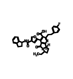 CCC1CC[C@H]2c3nc(CCc4ccc(F)cc4)c(C(=O)O)c(-c4cc(C(=O)NC5CCc6ccccc65)co4)c3C(=O)N12